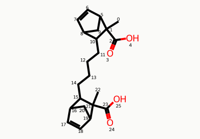 CC1(C(=O)O)C2C=CC(C2)C1CCCCC1C2C=CC(C2)C1(C)C(=O)O